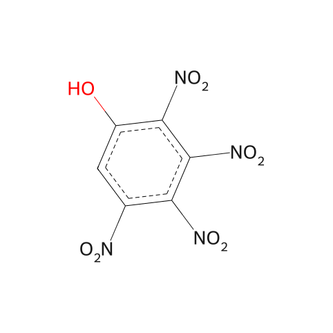 O=[N+]([O-])c1cc(O)c([N+](=O)[O-])c([N+](=O)[O-])c1[N+](=O)[O-]